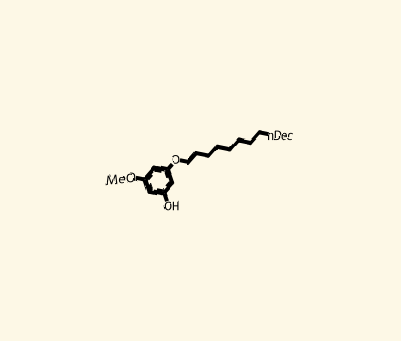 CCCCCCCCCCCCCCCCCCOc1cc(O)cc(OC)c1